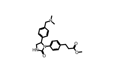 COC(=O)CCc1ccc(N2C(=O)NCC2c2ccc(CN(C)C)cc2)cc1